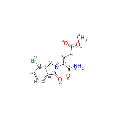 COC(=O)CC[C@@H](C(N)=O)N1Cc2c(Br)cccc2C1=O